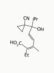 CCC(C(=O)O)=C(C)C=CC(O)(C(C)C)C1(C#N)CC1